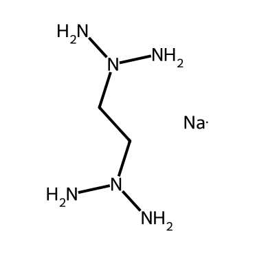 NN(N)CCN(N)N.[Na]